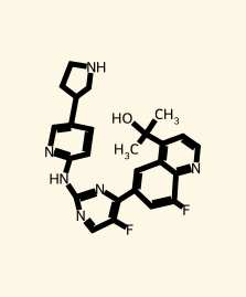 CC(C)(O)c1ccnc2c(F)cc(-c3nc(Nc4ccc(C5CCNC5)cn4)ncc3F)cc12